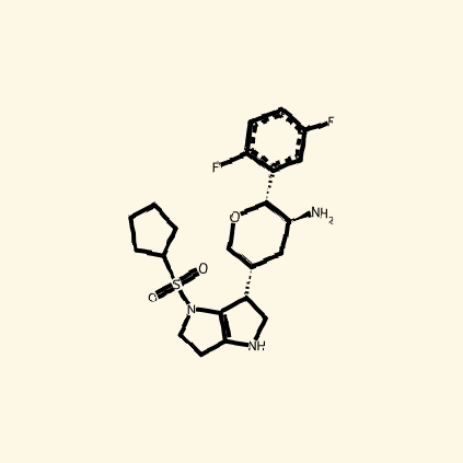 N[C@H]1C[C@H](C2CNC3=C2N(S(=O)(=O)C2CCCC2)CC3)CO[C@@H]1c1cc(F)ccc1F